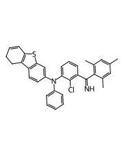 Cc1cc(C)c(C(=N)c2cccc(N(c3ccccc3)c3ccc4c5c(sc4c3)C=CCC5)c2Cl)c(C)c1